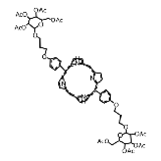 CC(=O)OCC1OC(OCCCOc2ccc(-c3c4nc(cc5ccc([nH]5)c(-c5ccc(OCCCOC6OC(COC(C)=O)C(OC(C)=O)C(OC(C)=O)C6OC(C)=O)cc5)c5nc(cc6ccc3[nH]6)C=C5)C=C4)cc2)C(OC(C)=O)C(OC(C)=O)C1OC(C)=O